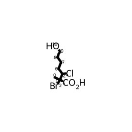 CC(Br)(C(=O)O)C(Cl)CCCCO